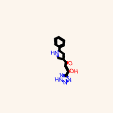 O=C(C=C(O)c1nn[nH]n1)C1CNC(c2ccccc2)C1